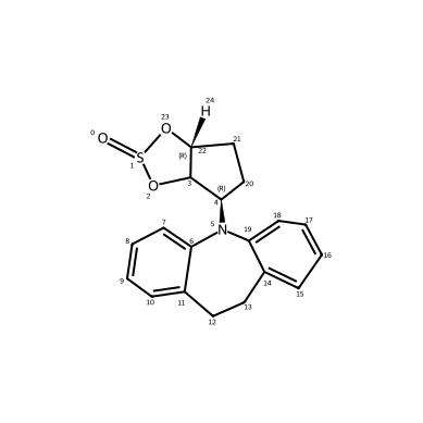 O=S1OC2[C@H](N3c4ccccc4CCc4ccccc43)CC[C@H]2O1